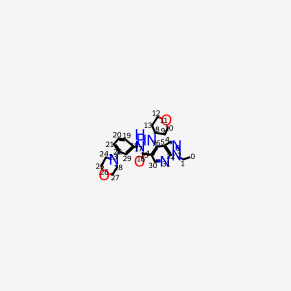 CCn1ncc2c(NC3CCOCC3)c(C(=O)Nc3cccc(N4CCOCC4)c3)cnc21